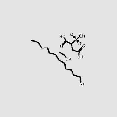 CCCCCCCCCCC[CH2][Na].CCO.O=C(O)CC(C(=O)O)S(=O)(=O)O